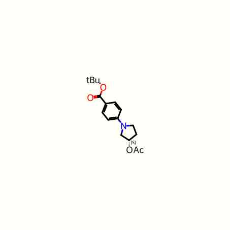 CC(=O)O[C@H]1CCN(c2ccc(C(=O)OC(C)(C)C)cc2)C1